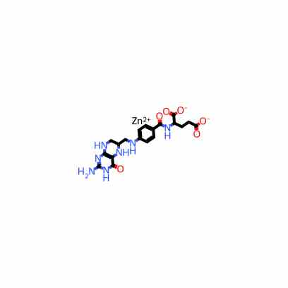 Nc1nc2c(c(=O)[nH]1)NC(CNc1ccc(C(=O)NC(CCC(=O)[O-])C(=O)[O-])cc1)CN2.[Zn+2]